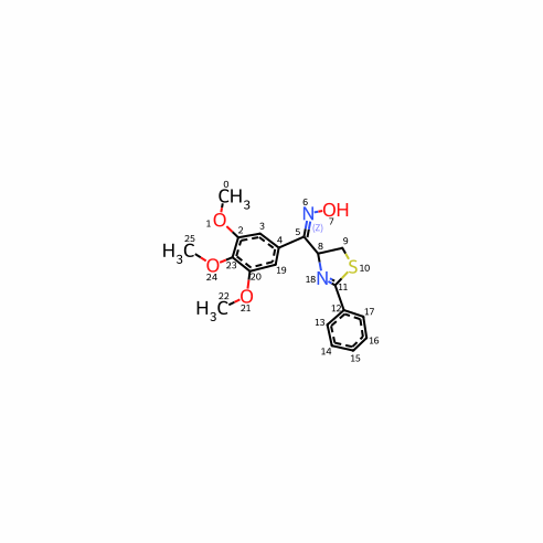 COc1cc(/C(=N/O)C2CSC(c3ccccc3)=N2)cc(OC)c1OC